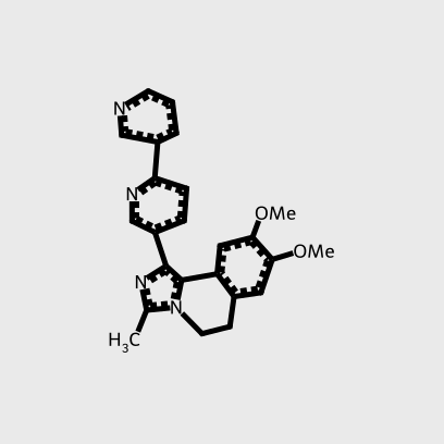 COc1cc2c(cc1OC)-c1c(-c3ccc(-c4cccnc4)nc3)nc(C)n1CC2